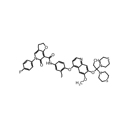 CCC(Oc1cc2nccc(Oc3ccc(NC(=O)c4c5c(cn(-c6ccc(F)cc6)c4=O)CCO5)cc3F)c2cc1OC)(N1CCSCC1)N1CCSCC1